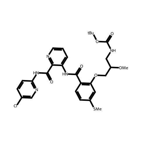 COC(CNC(=O)OC(C)(C)C)COc1cc(SC)ccc1C(=O)Nc1cccnc1C(=O)Nc1ccc(Cl)cn1